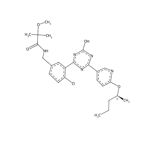 CCC[C@H](C)Oc1ccc(-c2nc(O)nc(-c3cc(CNC(=O)C(C)(C)OC)ccc3Cl)n2)cn1